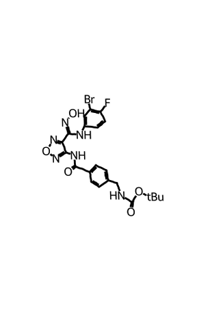 CC(C)(C)OC(=O)NCc1ccc(C(=O)Nc2nonc2C(=NO)Nc2ccc(F)c(Br)c2)cc1